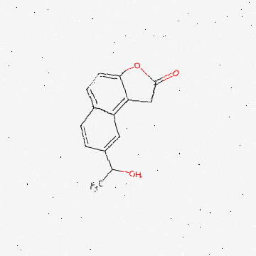 O=C1Cc2c(ccc3ccc(C(O)C(F)(F)F)cc23)O1